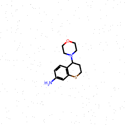 Nc1ccc2c(c1)SCCC2N1CCOCC1